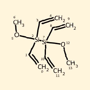 C=C[Si](C=C)(OC)[Si](C=C)(C=C)OC